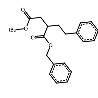 CC(C)(C)OC(=O)CC(CCc1ccccc1)C(=O)OCc1ccccc1